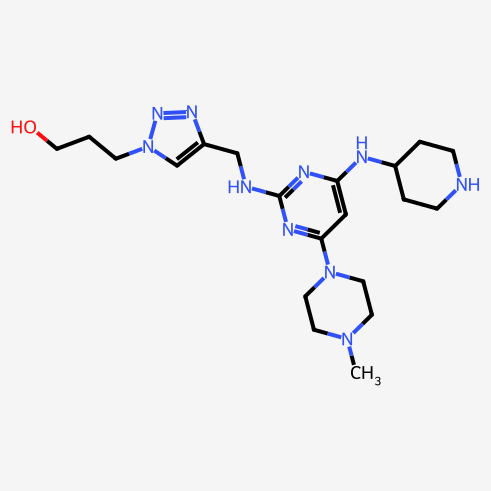 CN1CCN(c2cc(NC3CCNCC3)nc(NCc3cn(CCCO)nn3)n2)CC1